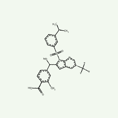 Cc1cc(C(O)c2cc3cc(C(F)(F)F)cnc3n2S(=O)(=O)c2cccc(C(C)C)c2)ccc1C(=O)O